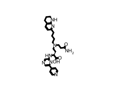 NC(=O)CCN(CCCCc1ccc2c(n1)NCCC2)CC[C@H](Nc1cncc(-c2ccncc2)n1)C(=O)O